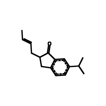 C/C=C/CC1Cc2ccc(C(C)C)cc2C1=O